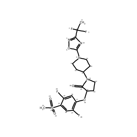 CC(F)(F)c1noc(N2CCC(N3CCC(Oc4cc(F)c(S(C)(=O)=O)cc4F)C3=O)CC2)n1